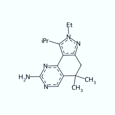 CCn1nc2c(c1C(C)C)-c1nc(N)ncc1C(C)(C)C2